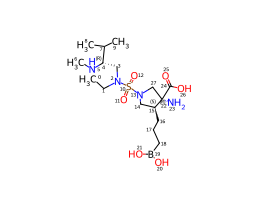 CCN(C[C@H](NC)C(C)C)S(=O)(=O)N1C[C@H](CCCB(O)O)[C@](N)(C(=O)O)C1